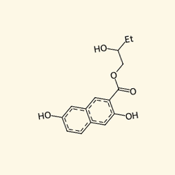 CCC(O)COC(=O)c1cc2cc(O)ccc2cc1O